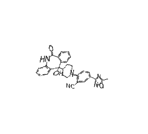 Cc1nc(-c2ccc(N3CCC(C4(O)c5ccccc5NC(=O)c5ccccc54)CC3)c(C#N)c2)no1